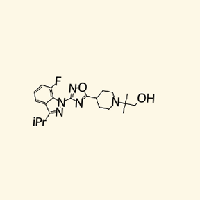 CC(C)c1nn(-c2noc(C3CCN(C(C)(C)CO)CC3)n2)c2c(F)cccc12